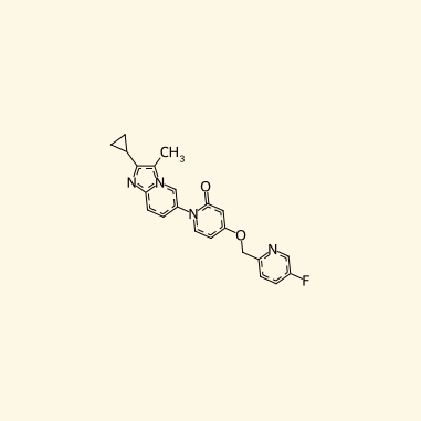 Cc1c(C2CC2)nc2ccc(-n3ccc(OCc4ccc(F)cn4)cc3=O)cn12